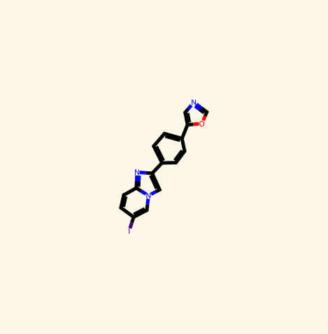 Ic1ccc2nc(-c3ccc(-c4cnco4)cc3)cn2c1